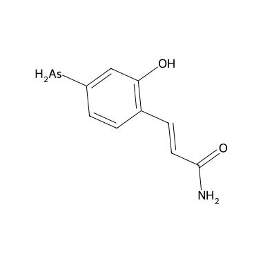 NC(=O)C=Cc1ccc([AsH2])cc1O